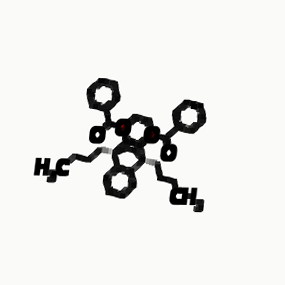 CCCC[C@]12c3ccccc3[C@](CCCC)(c3ccccc31)C(OC(=O)c1ccccc1)C2OC(=O)c1ccccc1